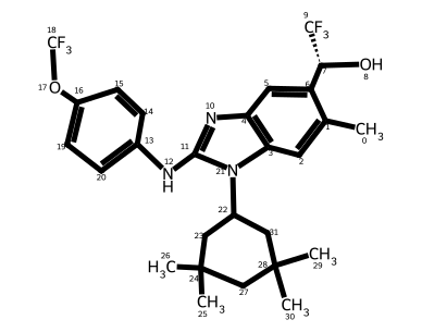 Cc1cc2c(cc1[C@@H](O)C(F)(F)F)nc(Nc1ccc(OC(F)(F)F)cc1)n2C1CC(C)(C)CC(C)(C)C1